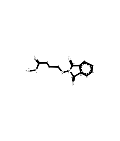 CC(C)(C)OC(=O)CCCON1C(=O)c2ccccc2C1=O